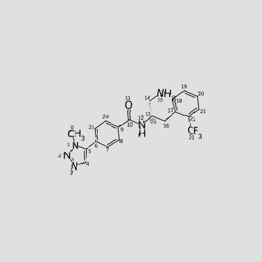 Cn1nncc1-c1ccc(C(=O)N[C@H](CN)Cc2ccccc2C(F)(F)F)cc1